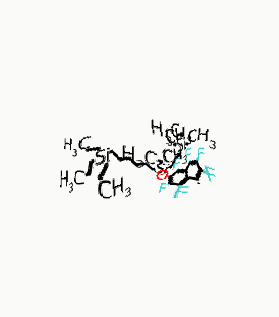 CCC[Si](CCC)(CCC)CCCCCC[Si](CCC[Si](CC)(CC)CC)(Oc1c(F)c(F)c2[c]c(F)c(F)c(F)c2c1F)C(C)C